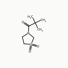 CC(C)(C)C(=O)N1CCS(=O)(=O)C1